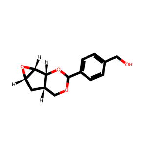 OCc1ccc(C2OC[C@@H]3C[C@@H]4O[C@@H]4[C@@H]3O2)cc1